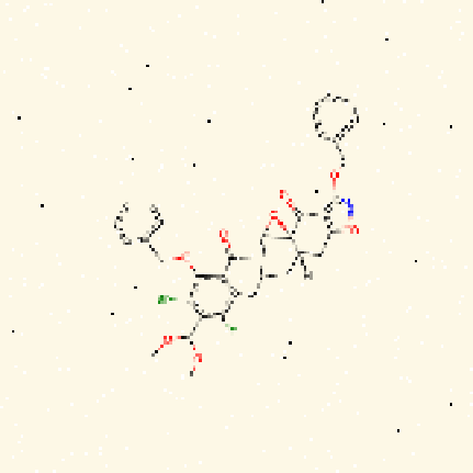 COC(OC)c1c(F)c2c(c(OCc3ccccc3)c1Br)C(=O)C1=C3O[C@]34C(=O)c3c(OCc5ccccc5)noc3C[C@@H]4CC1C2